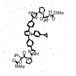 CNC(=O)O[C@H](C(=O)N1CCC[C@H]1c1nc(-c2ccc(-c3ccc(-c4ccc(-c5c[nH]c([C@@H]6CCCN6C(=O)[C@@H](NC(=O)OC)C(C)C)n5)cc4)n3-c3ccc(C4CC4)cc3)cc2)c[nH]1)C(C)C